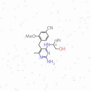 CCC[C@@H](CO)Nc1nc(N)nc(C)c1Cc1ccc(C#N)cc1OC